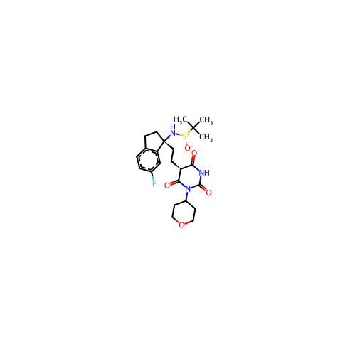 CC(C)(C)[S@+]([O-])N[C@@]1(CC[C@H]2C(=O)NC(=O)N(C3CCOCC3)C2=O)CCc2ccc(F)cc21